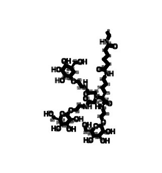 CCNC(=O)CCCCC(=O)NCCCC[C@@H](C(=O)NCCOC1O[C@H](CO)[C@@H](O)[C@H](O)[C@@H]1O)N(CC(=O)NCCOC1C[C@H](CO)[C@@H](O)[C@H](O)[C@@H]1O)CC(=O)NCCOC1O[C@H](CO)[C@@H](O)[C@H](O)[C@@H]1O